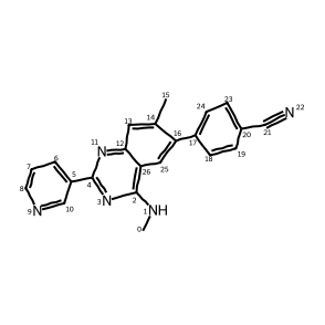 CNc1nc(-c2cccnc2)nc2cc(C)c(-c3ccc(C#N)cc3)cc12